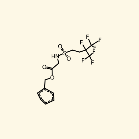 O=C(CNS(=O)(=O)CCC(F)(C(F)(F)F)C(F)(F)F)OCc1ccccc1